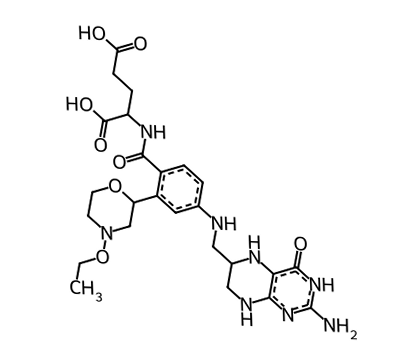 CCON1CCOC(c2cc(NCC3CNc4nc(N)[nH]c(=O)c4N3)ccc2C(=O)NC(CCC(=O)O)C(=O)O)C1